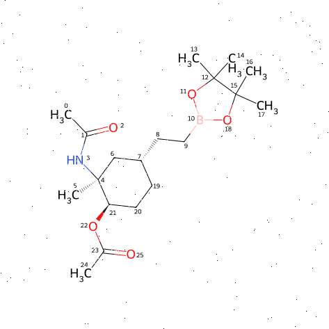 CC(=O)N[C@@]1(C)C[C@H](CCB2OC(C)(C)C(C)(C)O2)CC[C@H]1OC(C)=O